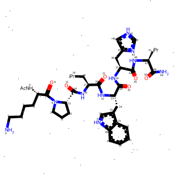 CC(=O)N[C@@H](CCCCN)C(=O)N1CCC[C@H]1C(=O)N[C@@H](CC(C)C)C(=O)N[C@@H](Cc1c[nH]c2ccccc12)C(=O)N[C@@H](Cc1c[nH]cn1)C(=O)N[C@H](C(N)=O)C(C)C